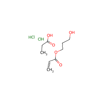 C=CC(=O)OCCCO.CCC(=O)O.Cl.Cl